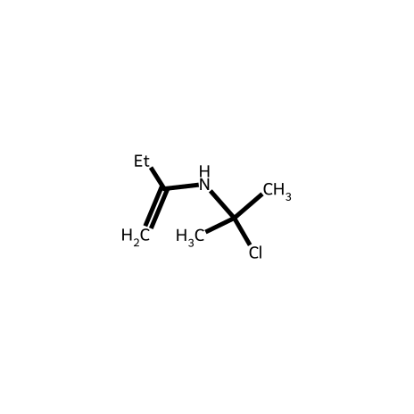 C=C(CC)NC(C)(C)Cl